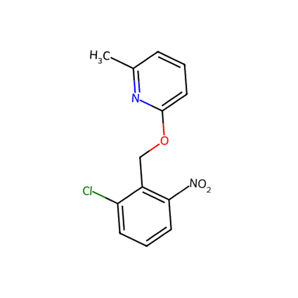 Cc1cccc(OCc2c(Cl)cccc2[N+](=O)[O-])n1